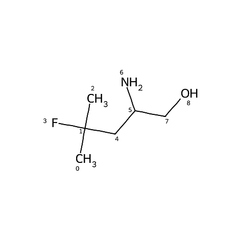 CC(C)(F)CC(N)CO